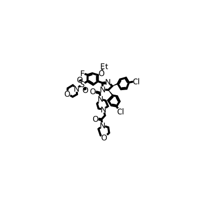 CCOc1cc(F)c(S(=O)(=O)N2CCOCC2)cc1C1=N[C@@H](c2ccc(Cl)cc2)[C@@H](c2ccc(Cl)cc2)N1C(=O)N1CCN(CC(=O)N2CCOCC2)CC1